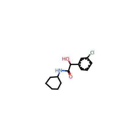 O=C(NC1CCCCC1)C(O)c1cccc(Cl)c1